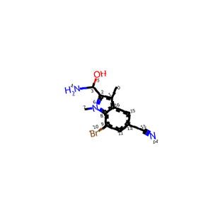 Cc1c(C(N)O)n(C)c2c(Br)cc(C#N)cc12